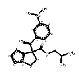 CC(C)COC(=O)C1(C(=O)c2cccc([S+](C)[O-])c2)CCn2cccc21